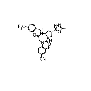 Cc1nnc([C@@H]2C[C@@H]3C(=O)N(c4ccc(C#N)cc4F)CC(=O)N(Cc4ccc(C(F)(F)F)cc4)[C@H]3C2)o1